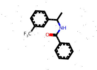 CC(NC(=O)c1ccccc1)c1cccc(C(F)(F)F)c1